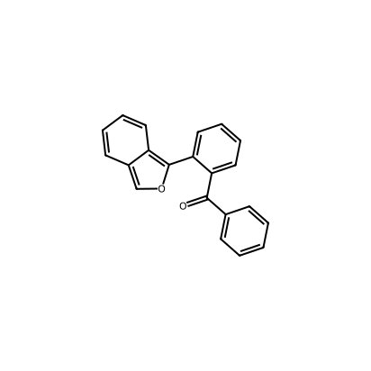 O=C(c1ccccc1)c1ccccc1-c1occ2ccccc12